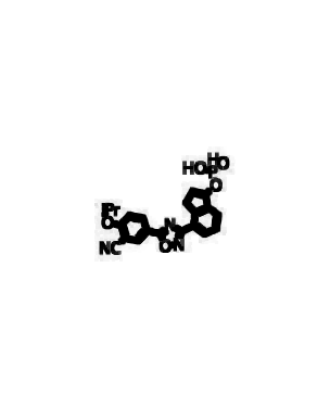 CC(C)Oc1ccc(-c2nc(-c3cccc4c3CC=C4O[PH](=O)O)no2)cc1C#N